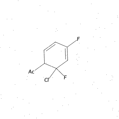 CC(=O)C1C=CC(F)=CC1(F)Cl